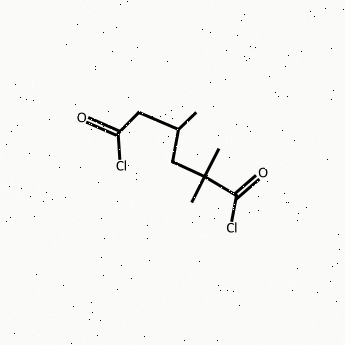 CC(CC(=O)Cl)CC(C)(C)C(=O)Cl